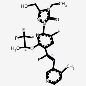 CCn1c(CO)nn(-c2nc(O[C@@H](C)C(F)(F)F)c(/C(F)=C/c3cnccc3C)cc2F)c1=O